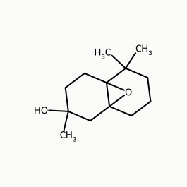 CC1(O)CCC23OC2(CCCC3(C)C)C1